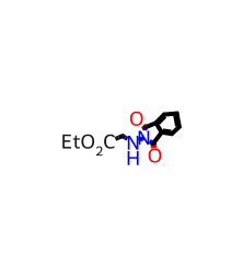 CCOC(=O)CNN1C(=O)c2ccccc2C1=O